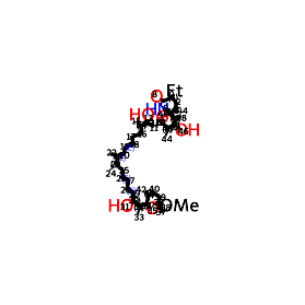 CC[C@H]1C[C@H](C)[C@@]2(NC1=O)O[C@@H](C[C@H](O)[C@@H](C)CC/C=C/C=C(\C)[C@@H](C)C/C=C/C=C/[C@H](O)[C@H](C)[C@H]1O[C@](C)(OC)CC[C@H]1C)[C@H](C)[C@H](O)[C@@H]2C